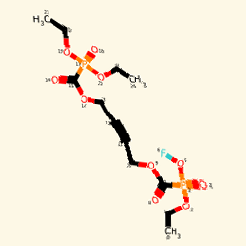 CCOP(=O)(OF)C(=O)OCC#CCOC(=O)P(=O)(OCC)OCC